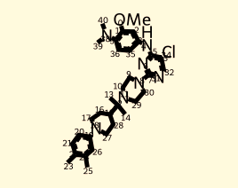 COc1cc(Nc2nc(N3CCN(C(C)(C)C4CCN(c5ccc(C)c(C)c5)CC4)CC3)ncc2Cl)ccc1N(C)C